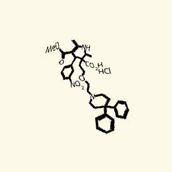 COC(=O)C1=C(C)NC(C)C(CCOCCN2CCC(c3ccccc3)(c3ccccc3)CC2)(C(=O)O)C1c1cccc([N+](=O)[O-])c1.Cl